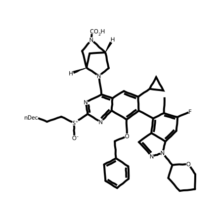 CCCCCCCCCCCC[S+]([O-])c1nc(N2C[C@@H]3C[C@H]2CN3C(=O)O)c2cc(C3CC3)c(-c3c(C)c(F)cc4c3cnn4C3CCCCO3)c(OCc3ccccc3)c2n1